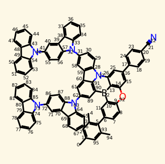 Cc1cc(C)c(-c2ccc3c(c2)B2c4c(cc(-c5ccc(C#N)cc5)cc4-n4c5ccc(-n6c7ccccc7c7cc(-n8c9ccccc9c9ccccc98)ccc76)cc5c5cc(-n6c7ccccc7c7cc(-n8c9ccccc9c9ccccc98)ccc76)cc2c54)O3)c(C)c1